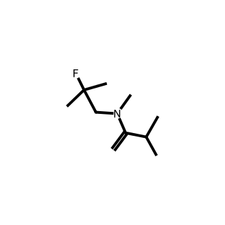 C=C(C(C)C)N(C)CC(C)(C)F